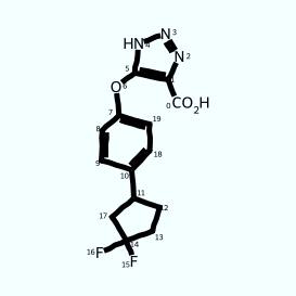 O=C(O)c1nn[nH]c1Oc1ccc(C2CCC(F)(F)C2)cc1